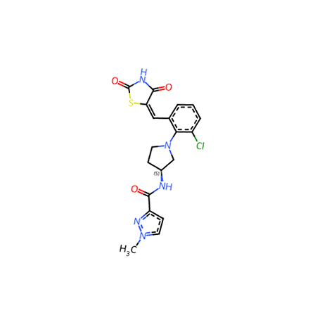 Cn1ccc(C(=O)N[C@H]2CCN(c3c(Cl)cccc3C=C3SC(=O)NC3=O)C2)n1